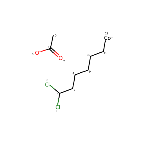 CC(=O)[O-].ClC(Cl)CCCC[CH2][Co+]